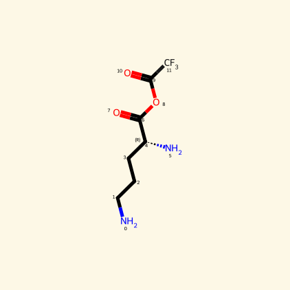 NCCC[C@@H](N)C(=O)OC(=O)C(F)(F)F